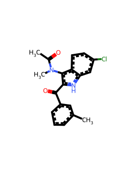 CC(=O)N(C)c1c(C(=O)c2cccc(C)c2)[nH]c2cc(Cl)ccc12